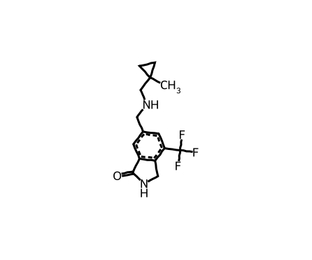 CC1(CNCc2cc3c(c(C(F)(F)F)c2)CNC3=O)CC1